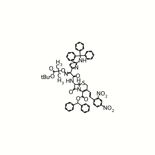 CC(C)(C)OC(=O)C(C)(C)ON=C(C(=O)NC1C(=O)N2C(C(=O)OC(c3ccccc3)c3ccccc3)=C(C=Cc3ccc([N+](=O)[O-])cc3[N+](=O)[O-])CS[C@@H]12)c1csc(NC(c2ccccc2)(c2ccccc2)c2ccccc2)n1